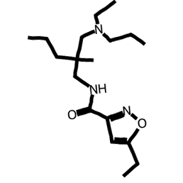 CCCN(CC)CC(C)(CCC)CNC(=O)c1cc(CC)on1